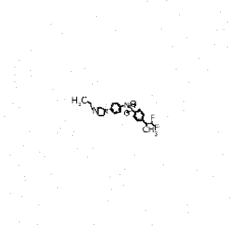 CCCN1CC[C@@H](c2ccc(NS(=O)(=O)c3ccc(C(C)C(F)F)cc3)cc2)C1